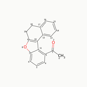 CC(=O)c1cccc2oc3c(c12)-c1ccccc1CC3